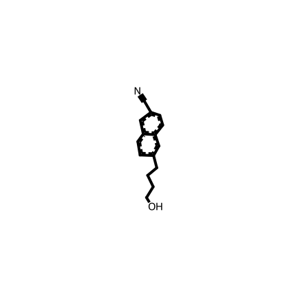 N#Cc1ccc2cc(CCCCO)ccc2c1